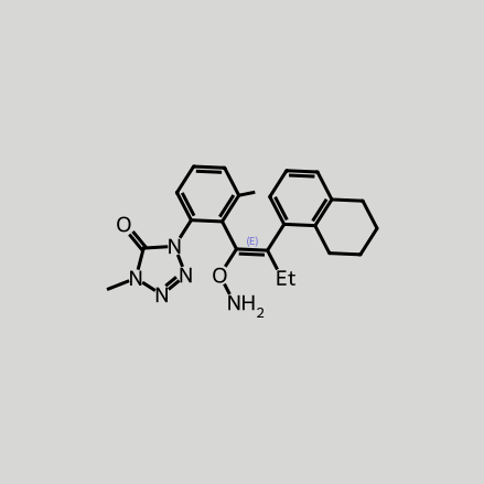 CC/C(=C(\ON)c1c(C)cccc1-n1nnn(C)c1=O)c1cccc2c1CCCC2